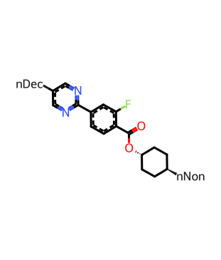 CCCCCCCCCCc1cnc(-c2ccc(C(=O)O[C@H]3CC[C@H](CCCCCCCCC)CC3)c(F)c2)nc1